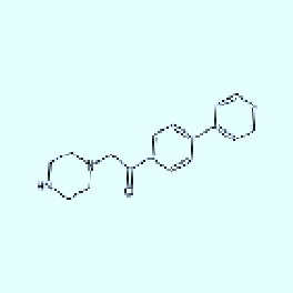 O=C(CN1CCNCC1)c1ccc(-c2ccccc2)cc1